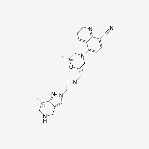 C[C@@H]1CN(c2ccc(C#N)c3ncccc23)C[C@H](CN2CC(n3cc4c(n3)[C@@H](C)CNC4)C2)O1